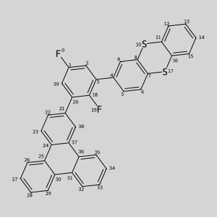 Fc1cc(-c2ccc3c(c2)Sc2ccccc2S3)c(F)c(-c2ccc3c4ccccc4c4ccccc4c3c2)c1